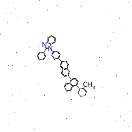 CC1=CCCC=C1c1ccc(-c2ccc3cc(-c4ccc(-n5c(-c6ccccc6)nc6ccccc65)cc4)ccc3c2)c2ccccc12